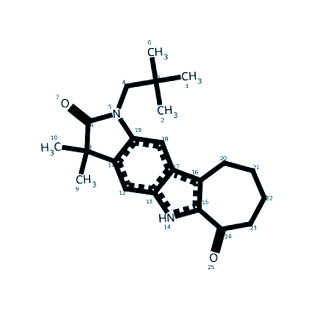 CC(C)(C)CN1C(=O)C(C)(C)c2cc3[nH]c4c(c3cc21)CCCCC4=O